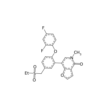 CCS(=O)(=O)Cc1ccc(Oc2ccc(F)cc2F)c(-c2cn(C)c(=O)c3ccoc23)c1